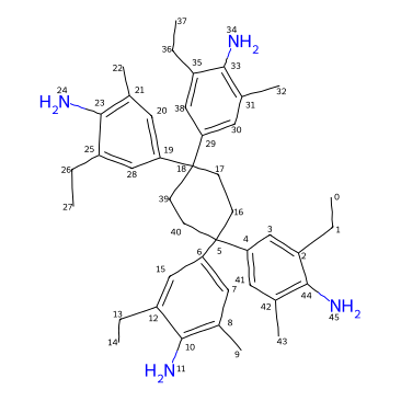 CCc1cc(C2(c3cc(C)c(N)c(CC)c3)CCC(c3cc(C)c(N)c(CC)c3)(c3cc(C)c(N)c(CC)c3)CC2)cc(C)c1N